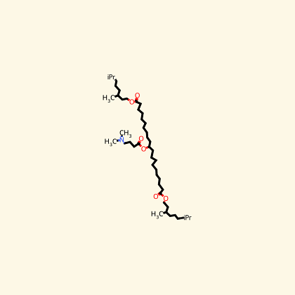 CC(C)CCCC(C)CCOC(=O)CCCCCCCCCC(CCCCCCCCCC(=O)OCCC(C)CCCC(C)C)OC(=O)CCCN(C)C